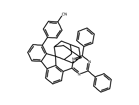 N#Cc1ccc(-c2cccc3c2C2(c4c(-c5nc(-c6ccccc6)nc(-c6ccccc6)n5)cccc4-3)C3CC4CC(C3)CC2C4)cc1